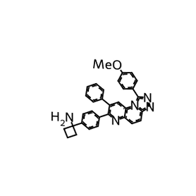 COc1ccc(-c2nnc3ccc4nc(-c5ccc(C6(N)CCC6)cc5)c(-c5ccccc5)cc4n23)cc1